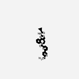 COc1ccc(-c2cccc(C(=O)N3CCc4cnc(NC(=O)C5CC5)nc4-c4ccccc43)n2)cn1